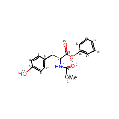 COC(=O)N[C@H](Cc1ccc(O)cc1)C(=O)Oc1ccccc1